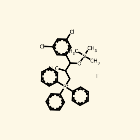 CC(C[P+](c1ccccc1)(c1ccccc1)c1ccccc1)C(O[Si](C)(C)C)c1cc(Cl)cc(Cl)c1.[I-]